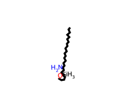 CCCCCCCCCCCCCCCCCC(N)CCC1([SiH3])CCCCO1